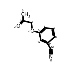 CC(=O)COc1cccc(C#N)c1